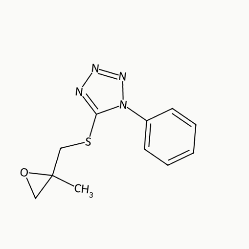 CC1(CSc2nnnn2-c2ccccc2)CO1